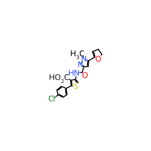 Cn1nc(C(=O)Nc2csc(-c3ccc(Cl)cc3)c2C(=O)O)cc1C1=CCCO1